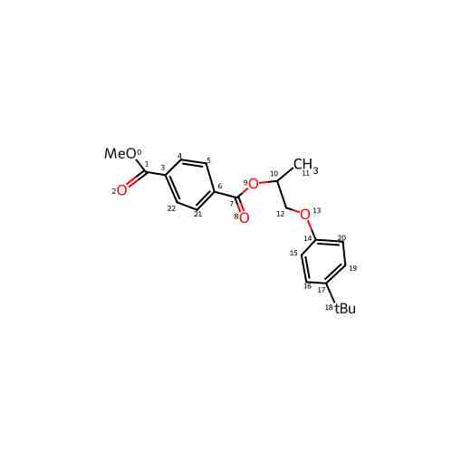 COC(=O)c1ccc(C(=O)OC(C)COc2ccc(C(C)(C)C)cc2)cc1